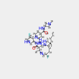 CCCCC(C)(CC)C1CCC(F)/C=N\C(C)C(C(=O)NC2CNCC(F)C2N2CCC(C(=O)NC3CN(C)C3)CC2)C(N)N1